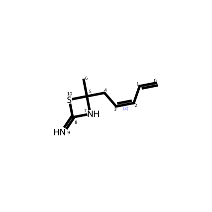 C=C/C=C\CC1(C)NC(=N)S1